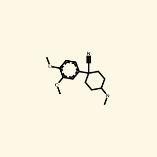 C[N]C1CCC(C#N)(c2ccc(OC)c(OC)c2)CC1